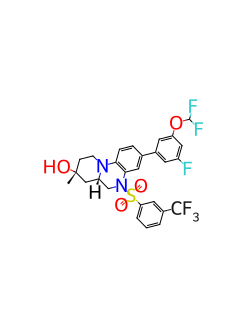 C[C@@]1(O)CCN2c3ccc(-c4cc(F)cc(OC(F)F)c4)cc3N(S(=O)(=O)c3cccc(C(F)(F)F)c3)C[C@@H]2C1